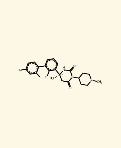 CN1CCC(N2C(=N)N[C@](C)(c3cccc(-c4ccc(F)cc4F)c3Cl)CC2=O)CC1